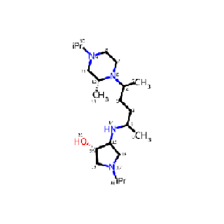 CC(CCC(C)N1CCN(C(C)C)C[C@H]1C)N[C@H]1CN(C(C)C)C[C@@H]1O